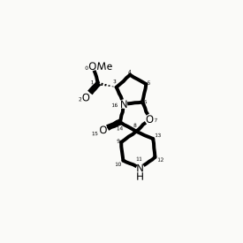 COC(=O)[C@@H]1CCC2OC3(CCNCC3)C(=O)N21